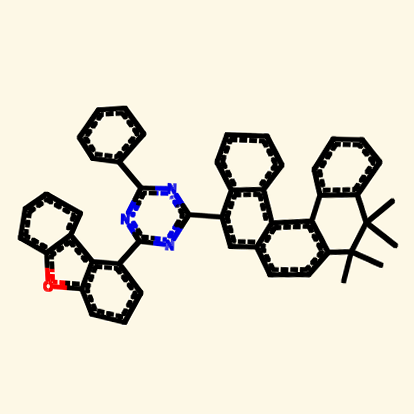 CC1(C)c2ccccc2-c2c(ccc3cc(-c4nc(-c5ccccc5)nc(-c5cccc6oc7ccccc7c56)n4)c4ccccc4c23)C1(C)C